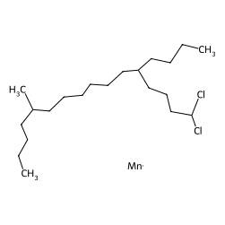 CCCCC(C)CCCCCCC(CCCC)CCCC(Cl)Cl.[Mn]